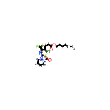 CCCCCOC(=O)Cc1sc(F)c(N=c2sc(=O)n3n2CCCC3)c1Cl